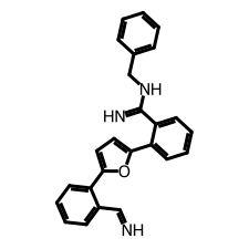 N=Cc1ccccc1-c1ccc(-c2ccccc2C(=N)NCc2ccccc2)o1